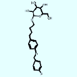 OCC1OC(OCCCCc2ccc(OCc3ccc(F)cc3)cc2)C(O)C(O)C1O